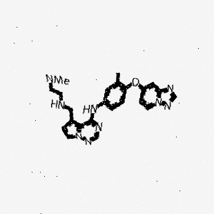 CNCCNCc1ccn2ncnc(Nc3ccc(Oc4ccn5ncnc5c4)c(C)c3)c12